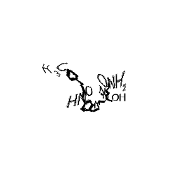 Cc1ccc(CCC(=O)Nc2ccc3ccn(CC[C@H](CO)n4cnc(C(N)=O)c4)c3c2)cc1